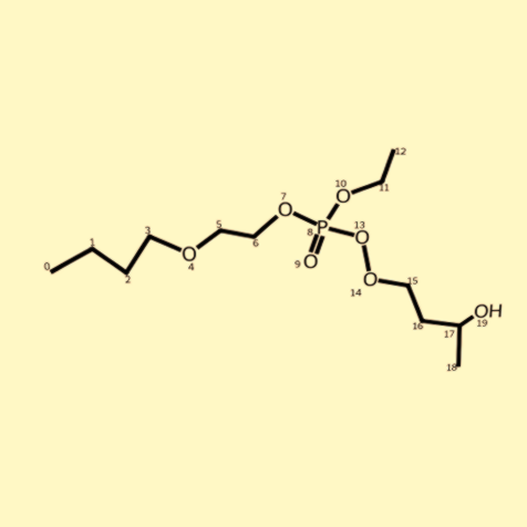 CCCCOCCOP(=O)(OCC)OOCCC(C)O